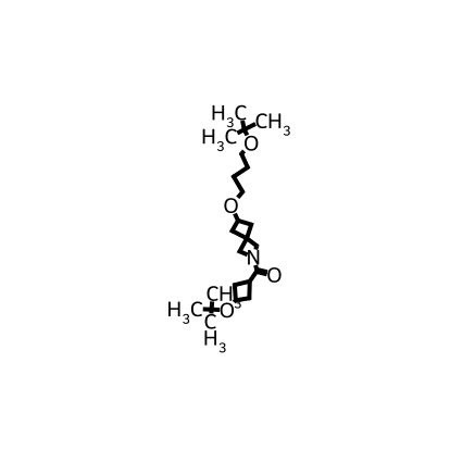 CC(C)(C)OCCCCOC1CC2(C1)CN(C(=O)C1CC(OC(C)(C)C)C1)C2